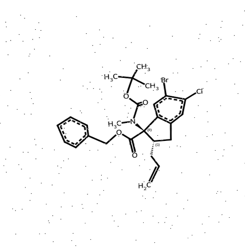 C=CC[C@H]1Cc2cc(Cl)c(Br)cc2[C@]1(C(=O)OCc1ccccc1)N(C)C(=O)OC(C)(C)C